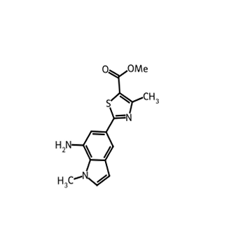 COC(=O)c1sc(-c2cc(N)c3c(ccn3C)c2)nc1C